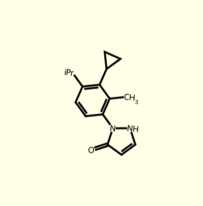 Cc1c(-n2[nH]ccc2=O)ccc(C(C)C)c1C1CC1